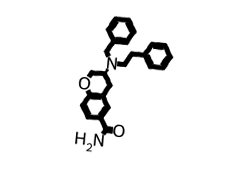 NC(=O)c1ccc2c(c1)C[C@H](N(CCc1ccccc1)Cc1ccccc1)CO2